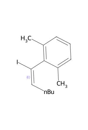 CCCC/C=C(/I)c1c(C)cccc1C